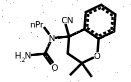 CCCN(C(N)=O)C1(C#N)CC(C)(C)Oc2ccccc21